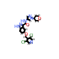 O=C(Nc1cnn(C2CCOCC2)c1)c1n[nH]c2ccc(OCc3c(Cl)cncc3Cl)cc12